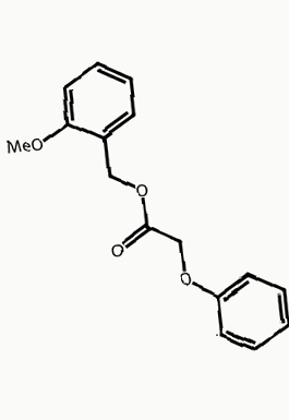 COc1ccccc1COC(=O)COc1[c]cccc1